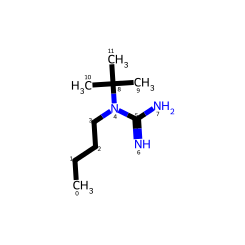 CCCCN(C(=N)N)C(C)(C)C